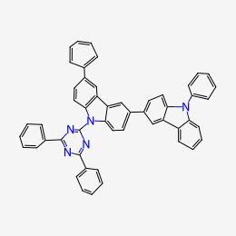 c1ccc(-c2ccc3c(c2)c2cc(-c4ccc5c(c4)c4ccccc4n5-c4ccccc4)ccc2n3-c2nc(-c3ccccc3)nc(-c3ccccc3)n2)cc1